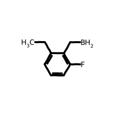 BCc1c(F)cccc1CC